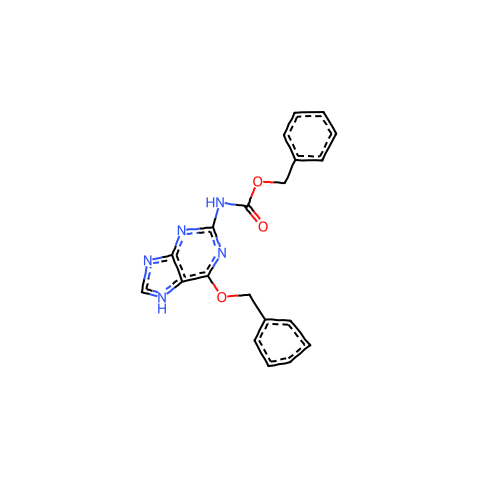 O=C(Nc1nc(OCc2ccccc2)c2[nH]cnc2n1)OCc1ccccc1